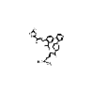 CN(C)C/C=C/C(=O)N1CCN(c2cnccc2-c2ccc(CNC(=O)c3noc(C(C)(C)C)n3)c(C(F)F)c2)CC1